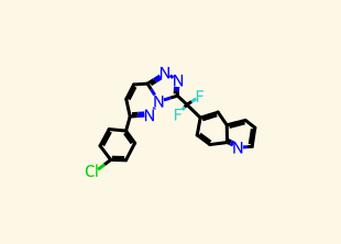 FC(F)(c1ccc2ncccc2c1)c1nnc2ccc(-c3ccc(Cl)cc3)nn12